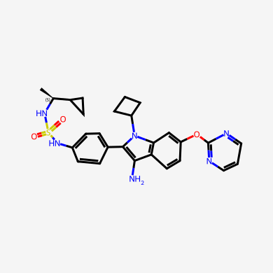 C[C@H](NS(=O)(=O)Nc1ccc(-c2c(N)c3ccc(Oc4ncccn4)cc3n2C2CCC2)cc1)C1CC1